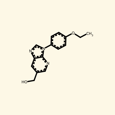 CCOc1ccc(-n2cnc3cc(CO)cnc32)cc1